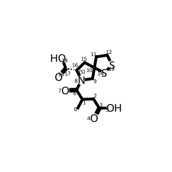 CC(CC(=O)O)C(=O)N1CC2(CCSS2)C[C@H]1C(=O)O